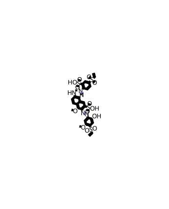 C=CS(=O)(=O)c1ccc(/N=N/c2c(NC)ccc3c(OC)c(/N=N/c4cc(OC)c(S(=O)(=O)C=C)cc4O)c(S(=O)(=O)O)cc23)c(S(=O)(=O)O)c1